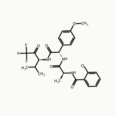 COc1ccc([C@H](NC(=O)[C@H](C)NC(=O)c2ccccc2Cl)C(=O)N[C@H](C(=O)C(F)(F)F)C(C)C)cc1